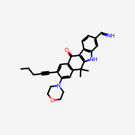 CCCC#Cc1cc2c(cc1N1CCOCC1)C(C)(C)c1[nH]c3cc(C=N)ccc3c1C2=O